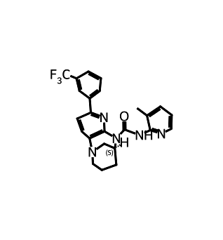 Cc1cccnc1NC(=O)N1c2nc(-c3cccc(C(F)(F)F)c3)ccc2N2CCC[C@H]1C2